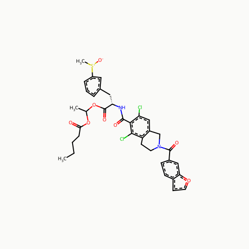 CCCCC(=O)OC(C)OC(=O)[C@H](Cc1cccc([S+](C)[O-])c1)NC(=O)c1c(Cl)cc2c(c1Cl)CCN(C(=O)c1ccc3ccoc3c1)C2